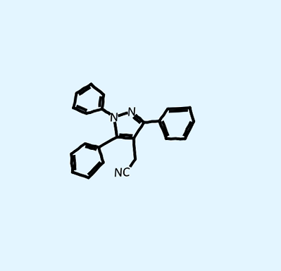 N#CCc1c(-c2ccccc2)nn(-c2ccccc2)c1-c1ccccc1